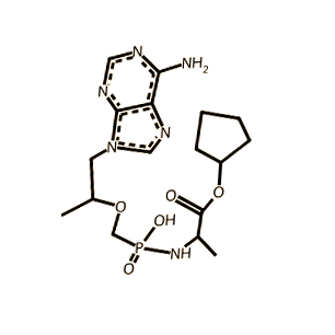 CC(Cn1cnc2c(N)ncnc21)OCP(=O)(O)NC(C)C(=O)OC1CCCC1